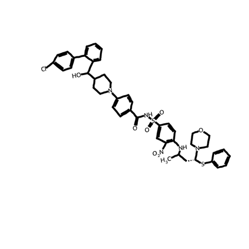 CC(C[C@@H](Sc1ccccc1)N1CCOCC1)Nc1ccc(S(=O)(=O)NC(=O)c2ccc(N3CCC(C(O)c4ccccc4-c4ccc(Cl)cc4)CC3)cc2)cc1[N+](=O)[O-]